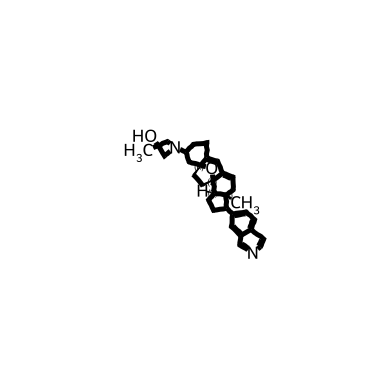 CC1(O)CN(C2CCC3=CC4=CC[C@]5(C)C(c6ccc7ccncc7c6)CC[C@H]5[C@@]45CC[C@]3(C2)O5)C1